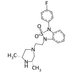 C[C@@H]1CN(CCN2c3ccccc3N(c3ccc(F)cc3)S2(=O)=O)C[C@H](C)N1